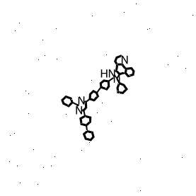 c1ccc(-c2ccc(-c3cc(-c4ccc(-c5ccc(C6Nc7c(c8ccccc8c8ncccc78)N6c6ccccc6)cc5)cc4)nc(-c4ccccc4)n3)cc2)cc1